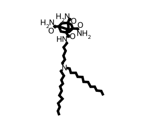 CCCCCCCCCCCCN(CCCCCCCCCCCC)CCCCCCNC(=O)C12CC3(C(N)=O)CC(C(N)=O)(CC(C(N)=O)(C3)C1)C2